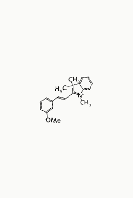 COc1cccc(C=CC2=[N+](C)c3ccccc3C2(C)C)c1